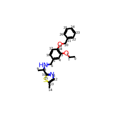 CCOc1cc(CNC(C)c2ncc(C)s2)ccc1OCc1ccccc1